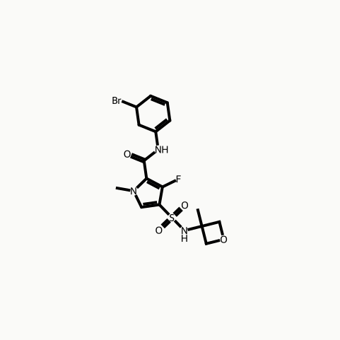 Cn1cc(S(=O)(=O)NC2(C)COC2)c(F)c1C(=O)NC1=CC=CC(Br)C1